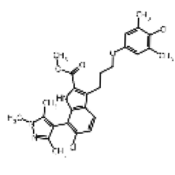 COC(=O)c1[nH]c2c(-c3c(C)nn(C)c3C)c(Cl)ccc2c1CCCOc1cc(C)c(Cl)c(C)c1